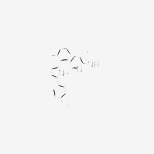 COc1ccc(Cn2c(-c3ccc(O)cc3)ccc2-c2ccccc2C)nc1N